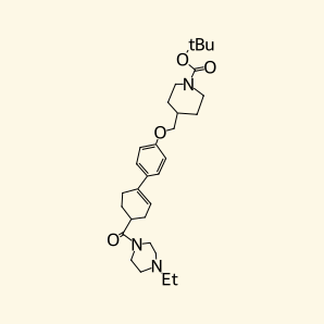 CCN1CCN(C(=O)C2CC=C(c3ccc(OCC4CCN(C(=O)OC(C)(C)C)CC4)cc3)CC2)CC1